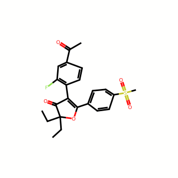 CCC1(CC)OC(c2ccc(S(C)(=O)=O)cc2)=C(c2ccc(C(C)=O)cc2F)C1=O